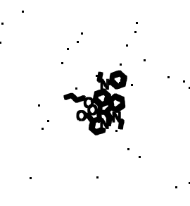 CCCCOc1cc(N(CC)c2ccccc2)ccc1C1(c2c(C)n(CC)c3ccccc23)OC(=O)c2cccnc21